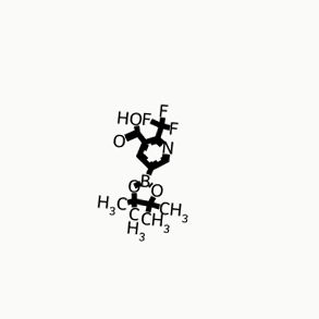 CC1(C)OB(c2cnc(C(F)(F)F)c(C(=O)O)c2)OC1(C)C